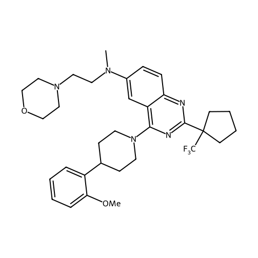 COc1ccccc1C1CCN(c2nc(C3(C(F)(F)F)CCCC3)nc3ccc(N(C)CCN4CCOCC4)cc23)CC1